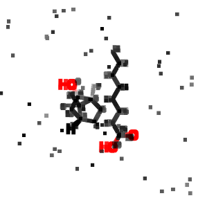 CC1(C)[C@@H]2CC[C@]1(C)[C@@H](O)C2.CCCCCCCC(=O)O